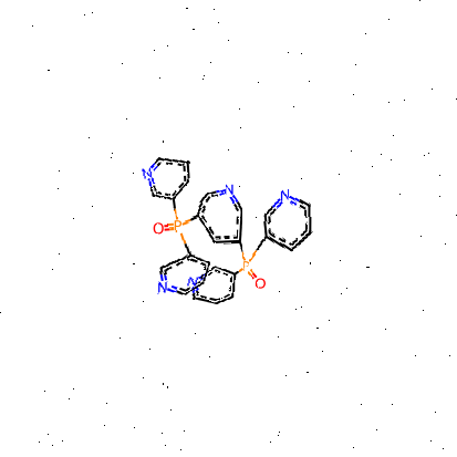 O=P(c1cccnc1)(c1cccnc1)c1cncc(P(=O)(c2cccnc2)c2cccnc2)c1